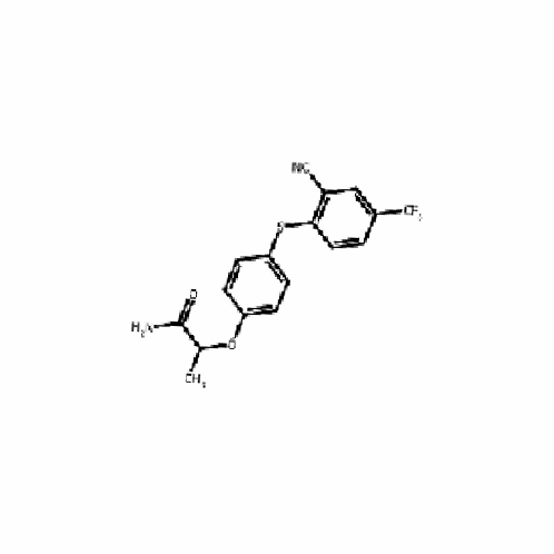 CC(Oc1ccc(Sc2ccc(C(F)(F)F)cc2C#N)cc1)C(N)=O